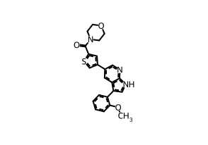 COc1ccccc1-c1c[nH]c2ncc(-c3csc(C(=O)N4CCOCC4)c3)cc12